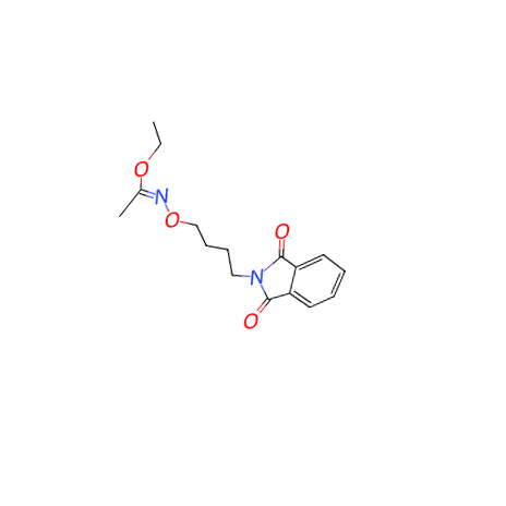 CCO/C(C)=N/OCCCCN1C(=O)c2ccccc2C1=O